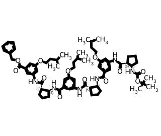 CC(C)CCOc1cc(NC(=O)[C@H]2CCC[C@@H]2NC(=O)OC(C)(C)C)cc(C(=O)N[C@H]2CCC[C@@H]2C(=O)Nc2cc(OCCC(C)C)cc(C(=O)N[C@H]3CCC[C@@H]3C(=O)Nc3cc(OCCC(C)C)cc(C(=O)OCc4ccccc4)c3)c2)c1